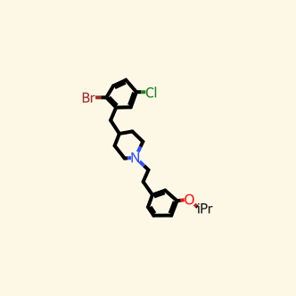 CC(C)Oc1cccc(CCN2CCC(Cc3cc(Cl)ccc3Br)CC2)c1